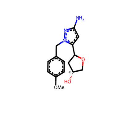 COc1ccc(Cn2nc(N)cc2C2C[C@@H](O)CO2)cc1